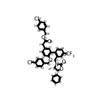 C[C@H]1[C@@H](c2ccccc2)OC(=O)N1Cc1cc(C(F)(F)F)ccc1-c1cc(CC(=O)OCc2ccc(Cl)cc2)ccc1OCc1ccc(Cl)cc1